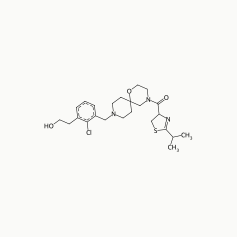 CC(C)C1=NC(C(=O)N2CCOC3(CCN(Cc4cccc(CCO)c4Cl)CC3)C2)CS1